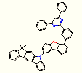 CC1(C)c2ccccc2-c2cc3c4ccccc4n(-c4ccc5oc6c(-c7cccc(-c8nc(-c9ccccc9)cc(-c9ccccc9)n8)c7)cccc6c5c4)c3cc21